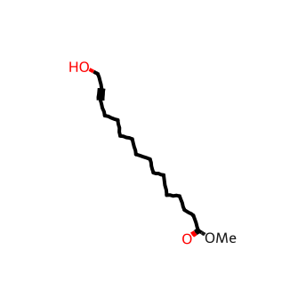 COC(=O)CCCCCCCCCCCCC#CCO